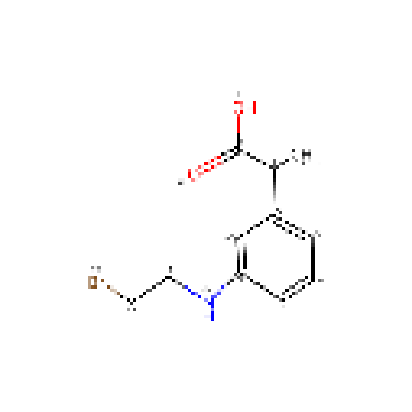 CC(C(=O)O)c1cccc(NCCBr)c1